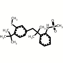 CSc1cc(CC(C)(C)c2ccccc2NS(C)(=O)=O)ccc1C(C)(C)C